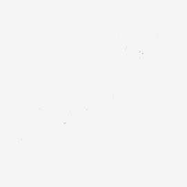 CC/C=C(\C/C=C\CCCCC(=O)OC)[N+](=O)[O-]